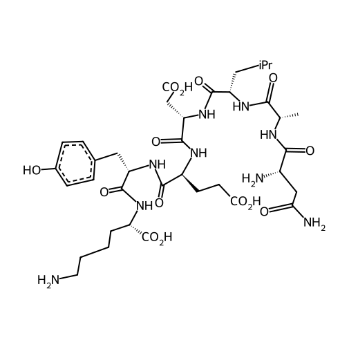 CC(C)C[C@H](NC(=O)[C@H](C)NC(=O)[C@@H](N)CC(N)=O)C(=O)N[C@@H](CC(=O)O)C(=O)N[C@@H](CCC(=O)O)C(=O)N[C@@H](Cc1ccc(O)cc1)C(=O)N[C@@H](CCCCN)C(=O)O